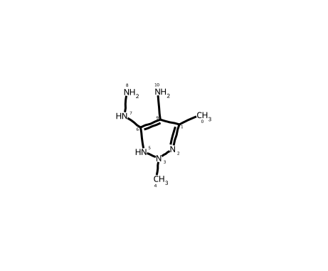 CC1=NN(C)NC(NN)=C1N